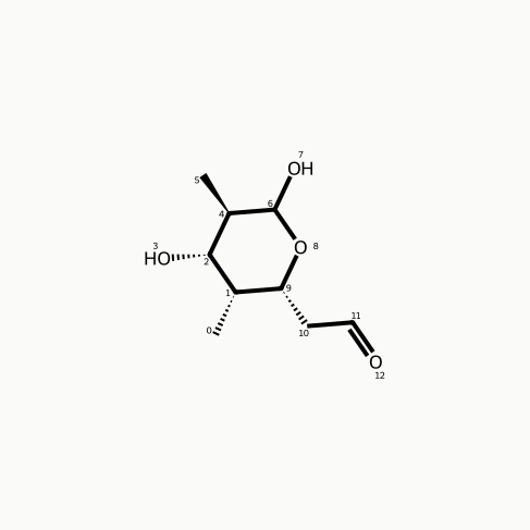 C[C@@H]1[C@H](O)[C@@H](C)C(O)O[C@@H]1CC=O